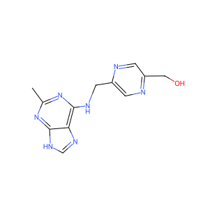 Cc1nc(NCc2cnc(CO)cn2)c2nc[nH]c2n1